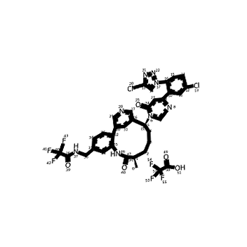 C[C@@H]1CCC[C@H](n2cnc(-c3cc(Cl)ccc3-n3cc(Cl)nn3)cc2=O)c2cncc(c2)-c2ccc(CNC(=O)C(F)(F)F)cc2NC1=O.O=C(O)C(F)(F)F